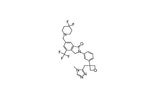 Cn1cnnc1CC1(c2cccc(N3Cc4c(cc(CN5CCC(F)(F)CC5)cc4C(F)(F)F)C3=O)c2)COC1